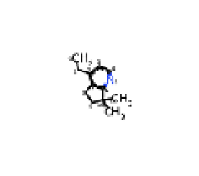 CCc1ccnc2c1CCC2(C)C